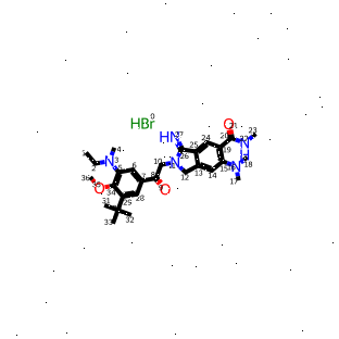 Br.CCN(C)c1cc(C(=O)CN2Cc3cc(N(C)C)c(C(=O)NC)cc3C2=N)cc(C(C)(C)C)c1OC